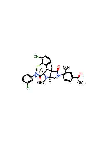 COC(=O)c1ccc(N2C[C@H]3[C@@H](C2=O)[C@H](c2cccc(Cl)c2F)[C@](C)(C(=O)Nc2cccc(Cl)c2)N3C=O)c([N+](=O)[O-])c1